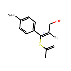 C=C(C)S/C(=C(\CC)CO)c1ccc(OC)cc1